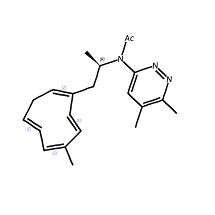 CC(=O)N(c1cc(C)c(C)nn1)[C@H](C)CC1=C/C/C=C/C=C(C)\C=C\1